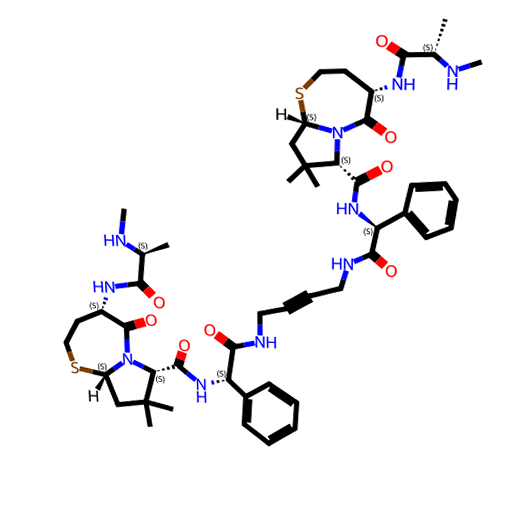 CN[C@@H](C)C(=O)N[C@H]1CCS[C@H]2CC(C)(C)[C@@H](C(=O)N[C@H](C(=O)NCC#CCNC(=O)[C@@H](NC(=O)[C@H]3N4C(=O)[C@@H](NC(=O)[C@H](C)NC)CCS[C@H]4CC3(C)C)c3ccccc3)c3ccccc3)N2C1=O